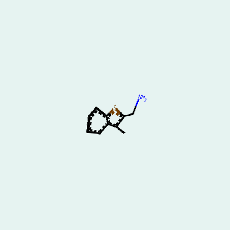 Cc1c(CN)sc2ccccc12